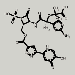 CC(C)(O[C@](N)(C(=O)N[C@@H]1C(=O)N(S(=O)(=O)O)[C@@H]1COC(=O)c1cc(-c2cc(=O)c(O)c[nH]2)no1)c1csc(N)n1)C(=O)O